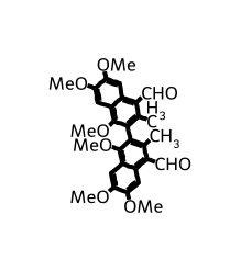 COc1cc2c(C=O)c(C)c(-c3c(C)c(C=O)c4cc(OC)c(OC)cc4c3OC)c(OC)c2cc1OC